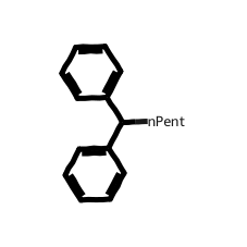 CCCCCC(c1ccccc1)c1ccccc1